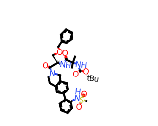 CC(C)(C)OC(=O)NC(C)(C)C(=O)N[C@H](COCc1ccccc1)C(=O)N1CCc2cc(-c3ccccc3NS(C)(=O)=O)ccc2C1